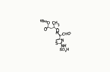 CC(CC(=O)OC(C)(C)C)ON=C([C]=O)c1csc(NS(=O)(=O)O)n1